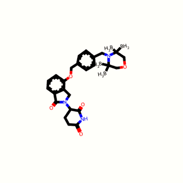 BC1(B)COCC(B)(B)N1Cc1ccc(COc2cccc3c2CN(C2CCC(=O)NC2=O)C3=O)cc1